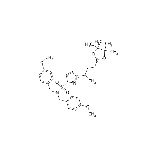 COc1ccc(CN(Cc2ccc(OC)cc2)S(=O)(=O)c2ccn(C(C)CCB3OC(C)(C)C(C)(C)O3)n2)cc1